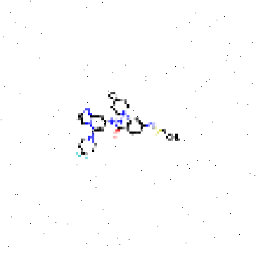 CCSNc1ccc(C(=O)Nc2cc(N3CCC(F)(F)CC3)n3ccnc3c2)c(N2CCC3(CC2)CC3)c1